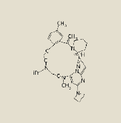 C=C1c2cc(C)ccc2CCCN(C(C)C)CCN(C)c2cc(N3CCC3)nc3cc(nn23)[C@@H]2CCCCN12